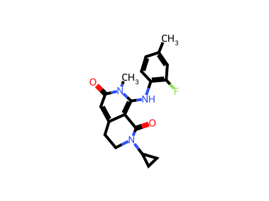 Cc1ccc(Nc2c3c(cc(=O)n2C)CCN(C2CC2)C3=O)c(F)c1